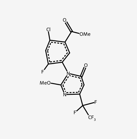 COC(=O)c1cc(-n2c(OC)nc(C(F)(F)C(F)(F)F)cc2=O)c(F)cc1Cl